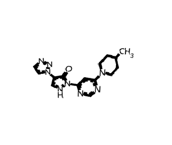 CC1CCN(c2cc(-n3[nH]cc(-n4ccnn4)c3=O)ncn2)CC1